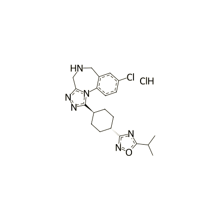 CC(C)c1nc([C@H]2CC[C@H](c3nnc4n3-c3ccc(Cl)cc3CNC4)CC2)no1.Cl